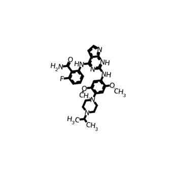 COc1cc(N2CCN(C(C)C)CC2)c(OC)cc1Nc1nc(Nc2cccc(F)c2C(N)=O)c2ccnc-2[nH]1